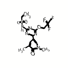 CCS(=O)(=O)Nc1nc(OCC(F)(F)F)nc(-c2cc(C)c(=O)n(C)c2)n1